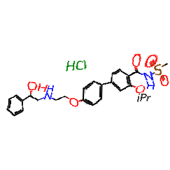 CC(C)Oc1cc(-c2ccc(OCCNC[C@H](O)c3ccccc3)cc2)ccc1C(=O)NS(C)(=O)=O.Cl